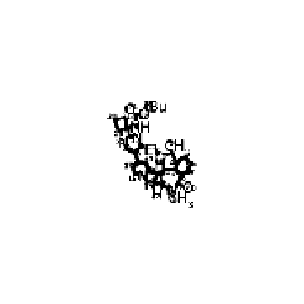 C=C(OCC)c1cccc2c1[C@H]1C[C@H](c3nn4ccc(-c5cnc(C6(NC(=O)OC(C)(C)C)CCC6)nc5)cc4c31)N(C)C2=O